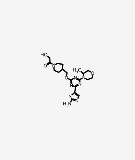 CC1COCCN1c1nc(OCC2CCN(C(=O)CO)CC2)nc(-c2cnc(N)s2)n1